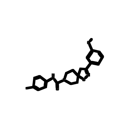 COc1cccc(C2=NOC3(CCN(C(=O)Nc4ccc(C)cc4)CC3)C2)c1